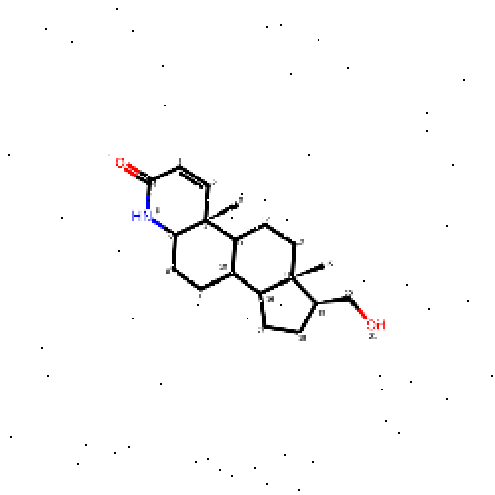 C[C@]12C=CC(=O)NC1CCC1C2CC[C@@]2(C)C1CC[C@@H]2CO